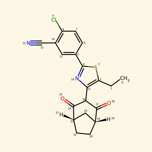 CCc1sc(-c2ccc(Cl)c(C#N)c2)nc1C1C(=O)[C@@H]2CC[C@@H](C2)C1=O